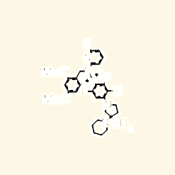 COc1ccc(CN(c2cccc(F)n2)S(=O)(=O)c2c(F)cc(N3CCC(C)(N4CCCCC4)C3)c(Cl)c2F)c(OC)c1